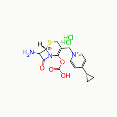 Cl.Cl.NC1C(=O)N2C(OC(=O)O)=C(C[n+]3ccc(C4CC4)cc3)CS[C@@H]12